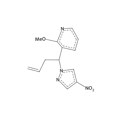 C=CCC(c1cccnc1OC)n1cc([N+](=O)[O-])cn1